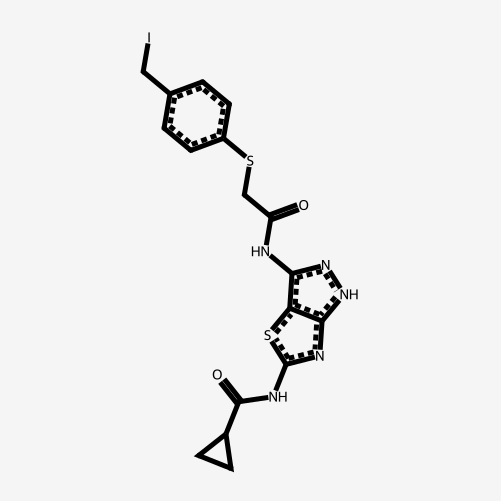 O=C(CSc1ccc(CI)cc1)Nc1n[nH]c2nc(NC(=O)C3CC3)sc12